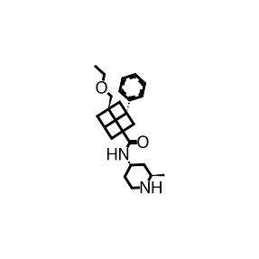 CCOC[C@@]12CC3CC4(C(=O)N[C@H]5CCN[C@H](C)C5)C[C@](c5ccccc5)(C1)C342